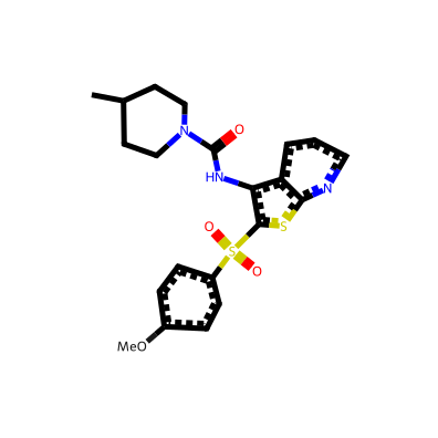 COc1ccc(S(=O)(=O)c2sc3ncccc3c2NC(=O)N2CCC(C)CC2)cc1